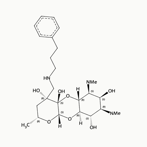 CN[C@@H]1[C@H](O)[C@H](NC)[C@H]2O[C@]3(O)[C@H](O[C@@H]2[C@H]1O)O[C@H](C)C[C@@]3(O)CNCCCc1ccccc1